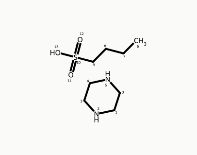 C1CNCCN1.CCCCS(=O)(=O)O